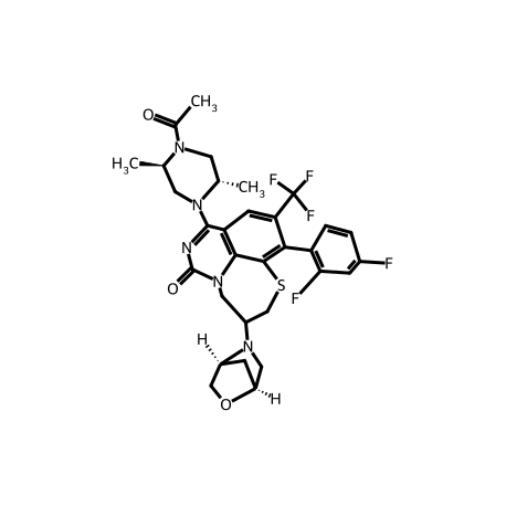 CC(=O)N1C[C@H](C)N(c2nc(=O)n3c4c(c(-c5ccc(F)cc5F)c(C(F)(F)F)cc24)SCC(N2C[C@@H]4C[C@H]2CO4)C3)C[C@H]1C